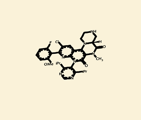 COc1cccc(F)c1-c1nc2c(cc1Cl)c1c(c(=O)n2-c2c(C(C)C)ncnc2C(C)C)N(C)C(=O)[C@H]2CNCCN12